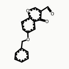 O=Cc1coc2ccc(OCc3ccccc3)cc2c1=O